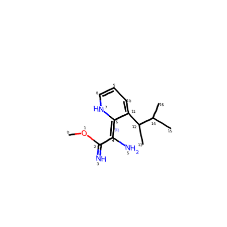 COC(=N)/C(N)=C1\NC=CC=C1C(C)C(C)C